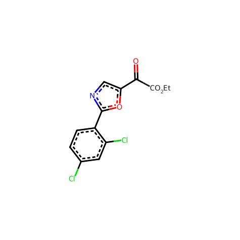 CCOC(=O)C(=O)c1cnc(-c2ccc(Cl)cc2Cl)o1